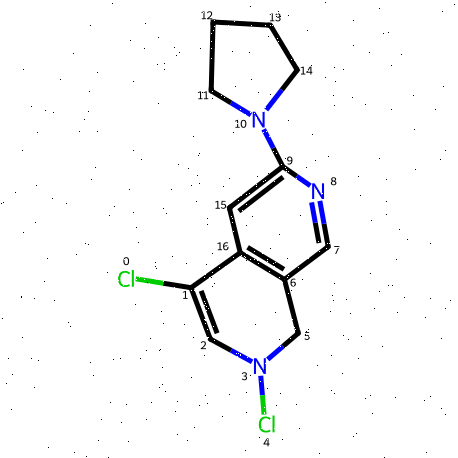 ClC1=CN(Cl)Cc2cnc(N3CCCC3)cc21